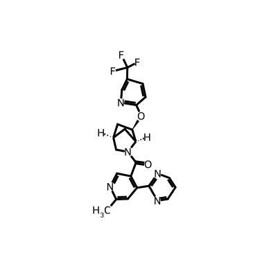 Cc1cc(-c2ncccn2)c(C(=O)N2C[C@H]3C[C@@H](Oc4ccc(C(F)(F)F)cn4)[C@@H]2C3)cn1